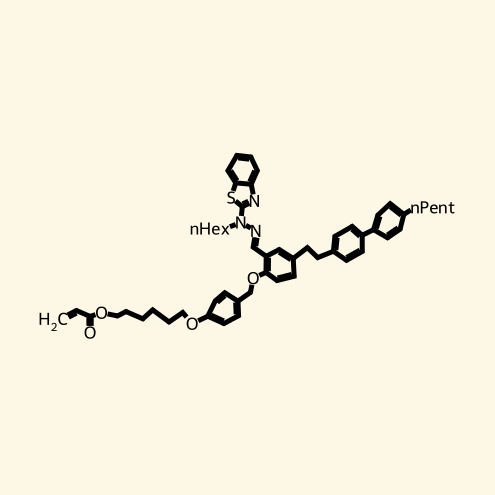 C=CC(=O)OCCCCCCOc1ccc(COc2ccc(CCc3ccc(-c4ccc(CCCCC)cc4)cc3)cc2/C=N/N(CCCCCC)c2nc3ccccc3s2)cc1